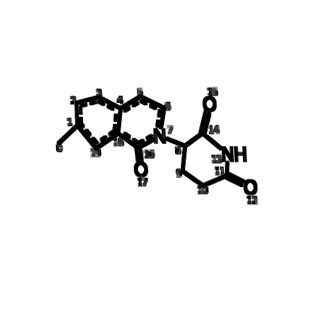 Cc1ccc2ccn(C3CCC(=O)NC3=O)c(=O)c2c1